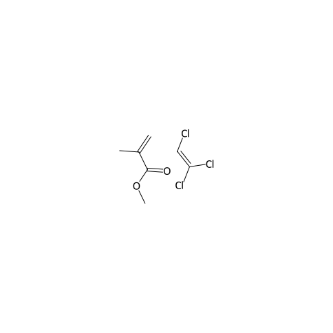 C=C(C)C(=O)OC.ClC=C(Cl)Cl